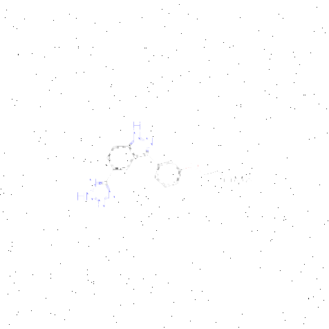 COCCOc1cccc(-c2n[nH]c3ccc(-c4nn[nH]n4)cc23)c1